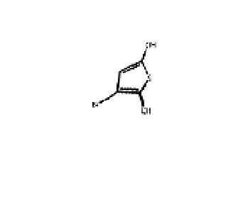 Oc1cc(Br)c(O)s1